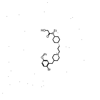 CCN(C(=O)CO)[C@H]1CC[C@H](CCCN2CCC(Cc3cc(OC(C)C)ccc3Br)CC2)CC1